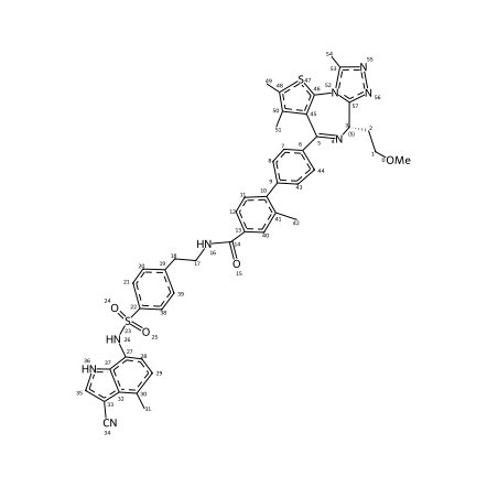 COCC[C@@H]1N=C(c2ccc(-c3ccc(C(=O)NCCc4ccc(S(=O)(=O)Nc5ccc(C)c6c(C#N)c[nH]c56)cc4)cc3C)cc2)c2c(sc(C)c2C)-n2c(C)nnc21